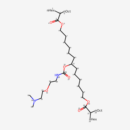 CCCCCCCCC(CCCCCC)C(=O)OCCCCCCC(CCCCCCOC(=O)C(CCCCCC)CCCCCCCC)OC(=O)NCCOCCN(C)C